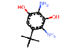 CC(C)(C)c1cc(O)c(N)c(O)c1N